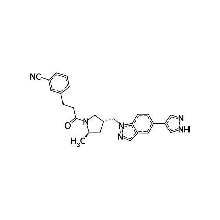 C[C@@H]1C[C@@H](Cn2ncc3cc(-c4cn[nH]c4)ccc32)CN1C(=O)CCc1cccc(C#N)c1